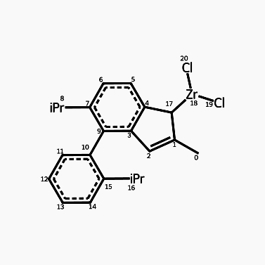 CC1=Cc2c(ccc(C(C)C)c2-c2ccccc2C(C)C)[CH]1[Zr]([Cl])[Cl]